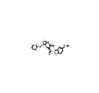 COc1ccc2c(c1)CN(C(=O)c1cc3c(Cc4ccccc4)n[nH]c3cc1O)C2